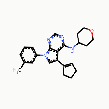 Cc1cccc(-n2cc(C3=CCCC3)c3c(NC4CCOCC4)ncnc32)c1